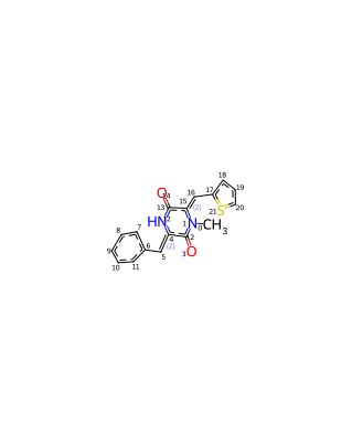 Cn1c(=O)/c(=C/c2ccccc2)[nH]c(=O)/c1=C/c1cccs1